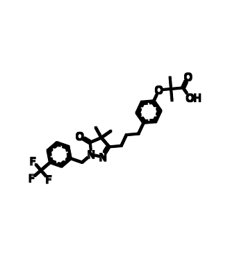 CC(C)(Oc1ccc(CCCC2=NN(Cc3cccc(C(F)(F)F)c3)C(=O)C2(C)C)cc1)C(=O)O